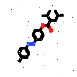 Cc1ccc(N=Nc2ccc(OC(=O)C(CC(C)C)C(C)C)cc2)cc1